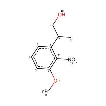 CCCOc1cccc([C](C)CO)c1[N+](=O)[O-]